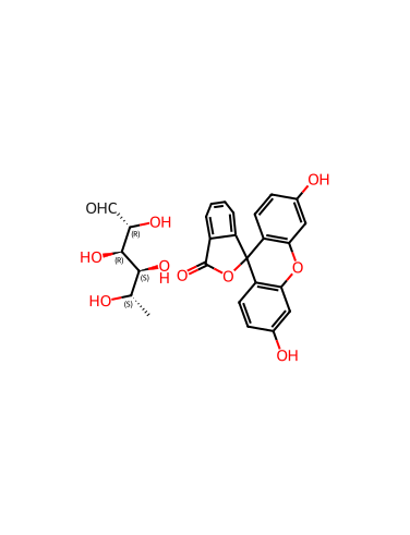 C[C@H](O)[C@H](O)[C@@H](O)[C@@H](O)C=O.O=C1OC2(c3ccc(O)cc3Oc3cc(O)ccc32)c2ccccc21